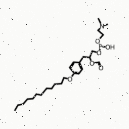 CCCCCCCCCCCCOc1ccc(CC(COP(O)OCCN(C)C)OC=O)cc1